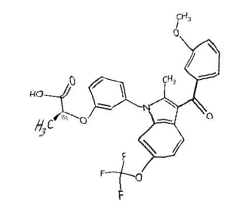 COc1cccc(C(=O)c2c(C)n(-c3cccc(O[C@@H](C)C(=O)O)c3)c3cc(OC(F)(F)F)ccc23)c1